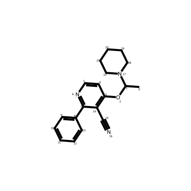 CC(Oc1ccnc(-c2ccccc2)c1C#N)N1CCCCC1